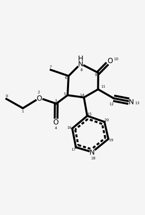 CCOC(=O)C1C(C)NC(=O)C(C#N)C1c1ccncc1